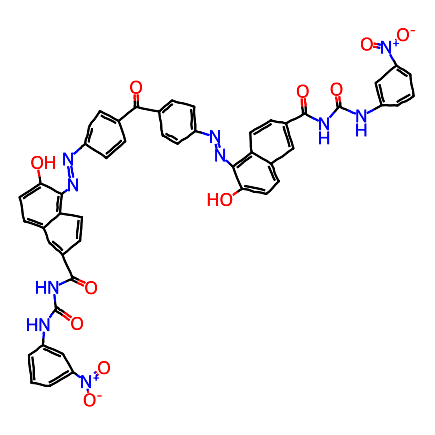 O=C(NC(=O)c1ccc2c(N=Nc3ccc(C(=O)c4ccc(N=Nc5c(O)ccc6cc(C(=O)NC(=O)Nc7cccc([N+](=O)[O-])c7)ccc56)cc4)cc3)c(O)ccc2c1)Nc1cccc([N+](=O)[O-])c1